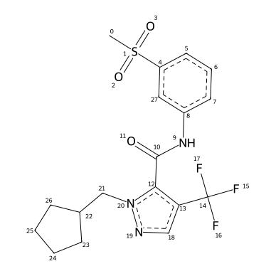 CS(=O)(=O)c1cccc(NC(=O)c2c(C(F)(F)F)cnn2CC2CCCC2)c1